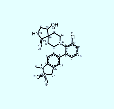 CN1c2ccc(-c3cncc(Cl)c3N3CCC4(CC3)C(=O)NCC4O)cc2CS1(=O)=O